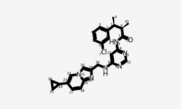 C[C@H](c1cccc(Cl)c1)[C@@H](C)C(=O)Nc1cc(NCc2cn3cc(C4CC4)ccc3n2)ncn1